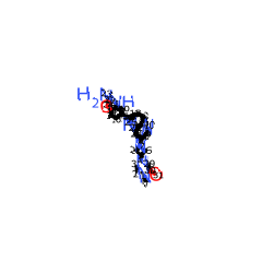 CN1CCN(C2CN(c3cnc4ccc(-c5ccc6c(c5)NC(N)O6)nc4c3)C2)CC1=O